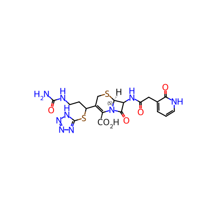 NC(=O)NCCC(Sc1nnn[nH]1)C1=C(C(=O)O)N2C(=O)C(NC(=O)Cc3ccc[nH]c3=O)[C@@H]2SC1